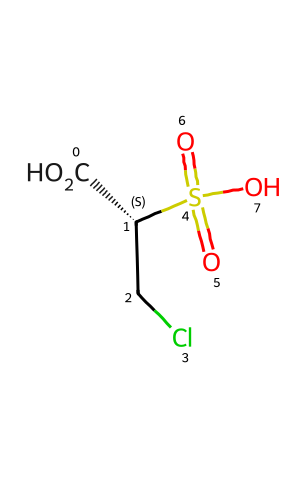 O=C(O)[C@@H](CCl)S(=O)(=O)O